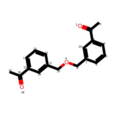 CC(=O)c1cccc(COCc2cccc(C(C)=O)c2)c1